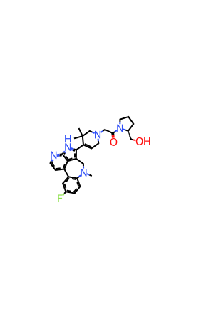 CN1Cc2c(C3=CCN(CC(=O)N4CCC[C@H]4CO)CC3(C)C)[nH]c3nccc(c23)-c2cc(F)ccc21